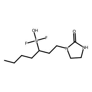 CCCCC(CCN1CCNC1=O)[Si](O)(F)F